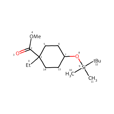 CCC1(C(=O)OC)CCC(O[Si](C)(C)C(C)(C)C)CC1